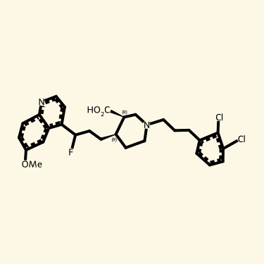 COc1ccc2nccc(C(F)CC[C@@H]3CCN(CCCc4cccc(Cl)c4Cl)C[C@@H]3C(=O)O)c2c1